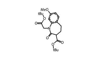 COc1ccc2c(c1)N(CC(=O)OC(C)(C)C)C(=O)C(C(=O)OC(C)(C)C)CC2